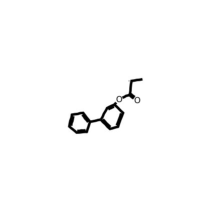 C[CH]C(=O)Oc1cccc(-c2ccccc2)c1